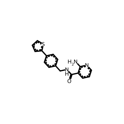 Nc1ncccc1C(=O)NCc1ccc(-c2cccs2)cc1